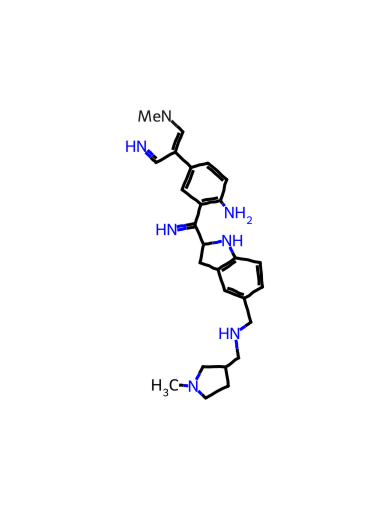 CN/C=C(\C=N)c1ccc(N)c(C(=N)C2Cc3cc(CNCC4CCN(C)C4)ccc3N2)c1